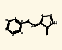 CC1NCCC1OCc1ccccc1